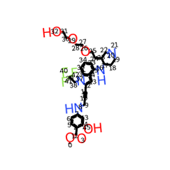 COC(=O)c1ccc(NCC#Cc2cc3c(NC4CCN(C)CC4CCOCCOCCO)cccc3n2CC(F)(F)F)cc1O